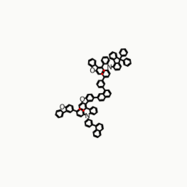 c1ccc(C2(c3ccccc3)c3ccccc3-c3c(N(c4ccc(-c5cccc(-c6cccc7ccc(-c8ccc9oc%10cccc(-c%11ccccc%11N(c%11ccc(-c%12ccc%13oc%14ccccc%14c%13c%12)cc%11)c%11cccc(-c%12cccc%13ccccc%12%13)c%11)c%10c9c8)cc67)c5)cc4)c4ccccc4-c4cccc5oc6ccccc6c45)cccc32)cc1